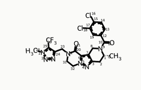 C[C@@H]1Cc2nn3c(c2CN1C(=O)c1ccc(Cl)c(Cl)c1)C(=O)N(Cc1nnn(C)c1C(F)(F)F)CC3